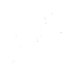 C=C(C(=O)Nc1cc2c(-c3cn(C)nc3-c3ccccc3)ncnc2cc1OC)N(C)C